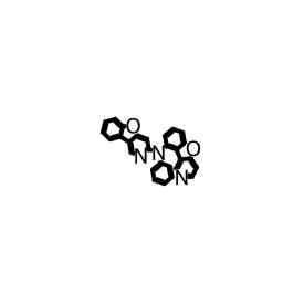 c1ccc(N(c2cc3oc4ccccc4c3cn2)c2cccc3oc4ccncc4c23)cc1